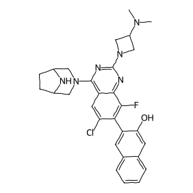 CN(C)C1CN(c2nc(N3CC4CCC(C3)N4)c3cc(Cl)c(-c4cc5ccccc5cc4O)c(F)c3n2)C1